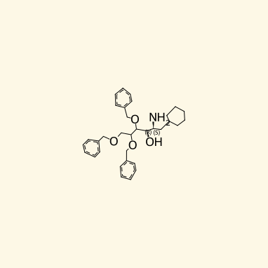 N[C@@H](CC1CCCCC1)[C@@H](O)C(OCc1ccccc1)C(COCc1ccccc1)OCc1ccccc1